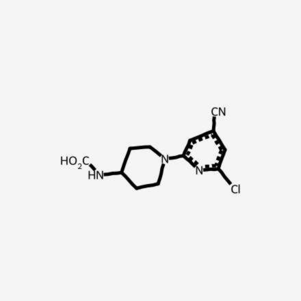 N#Cc1cc(Cl)nc(N2CCC(NC(=O)O)CC2)c1